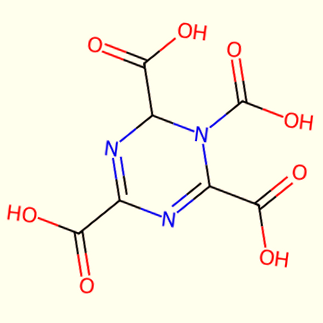 O=C(O)C1=NC(C(=O)O)N(C(=O)O)C(C(=O)O)=N1